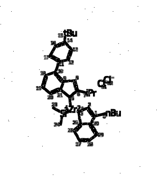 CCCCC1=C[CH]([Zr+2]([CH]2C(C(C)C)=Cc3c(-c4ccc(C(C)(C)C)cc4)cccc32)=[Si](C)C)c2ccccc21.[Cl-].[Cl-]